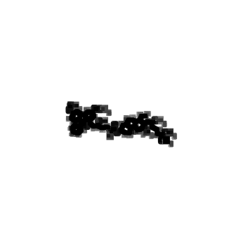 COc1ccc(C(OCCC(O)CCNC(=O)OC2CC[C@@]3(C)C(=CCC4C3CC[C@@]3(C)C4CC[C@@H]3[C@H](C)CCCC(C)C)C2)(c2ccccc2)c2ccc(OC)cc2)cc1